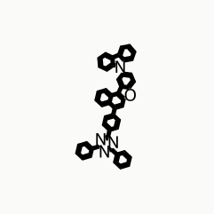 c1ccc(-c2nc(-c3ccccc3)nc(-c3ccc(-c4cc5oc6ccc(-n7c8ccccc8c8ccccc87)cc6c5c5ccccc45)cc3)n2)cc1